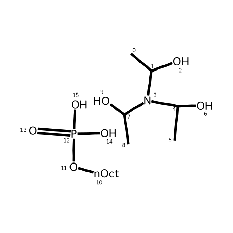 CC(O)N(C(C)O)C(C)O.CCCCCCCCOP(=O)(O)O